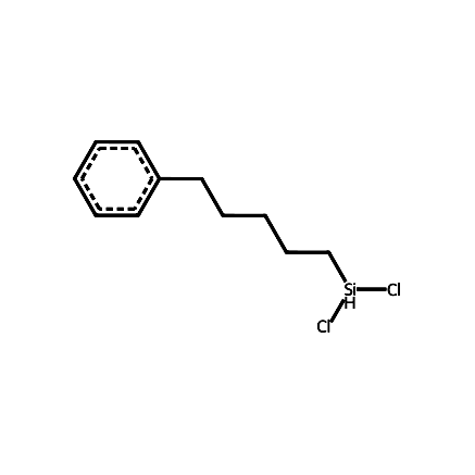 Cl[SiH](Cl)CCCCCc1ccccc1